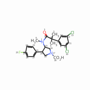 CN(C(=O)C(C)(C)c1cc(Cl)cc(Cl)c1)C1CN(C(=O)O)CC1c1ccc(F)cc1